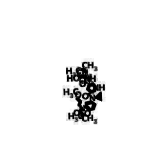 COCCCN1C(=O)C(C)(C)Oc2ccc(N(C(=O)[C@H]3CNC[C@@H](C(=O)N[C@H](CC(C)C)C(C)(C)O)C3)C3CC3)cc21